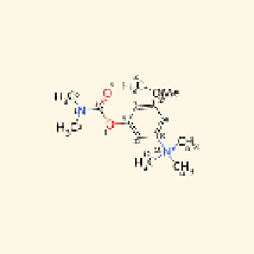 CN(C)C(=O)Oc1cccc([N+](C)(C)C)c1.COC